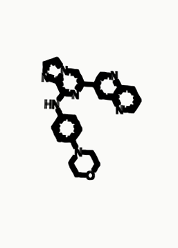 c1cnc2cc(-c3cn4ccnc4c(Nc4ccc(N5CCOCC5)cc4)n3)cnc2c1